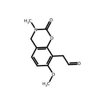 COc1ccc2c(c1CC=O)OC(=O)N(C)C2